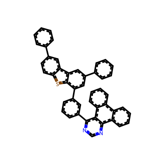 c1ccc(-c2ccc3sc4c(-c5cccc(-c6ncnc7c8ccccc8c8ccccc8c67)c5)cc(-c5ccccc5)cc4c3c2)cc1